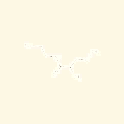 CCCNC(=O)C(C)COC